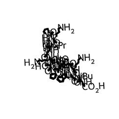 CC[C@H](C)[C@H](NC(=O)[C@H](Cc1c[nH]c2ccccc12)NC(=O)[C@H](CCCCN)NC(=O)[C@H](CO)NC(=O)[C@H](CC(C)C)NC(=O)[C@H](C)N(C(=O)[C@@H](NC(=O)[C@H](CCCCN)NC(=O)[C@H](CC(C)C)NC(=O)[C@H](CC(C)C)NC(=O)[C@H](CCCCN)NC(=O)[C@@H]1CCCN1)[C@@H](C)O)c1ccccc1)C(=O)NCC(=O)O